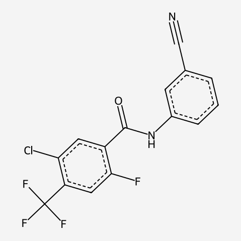 N#Cc1cccc(NC(=O)c2cc(Cl)c(C(F)(F)F)cc2F)c1